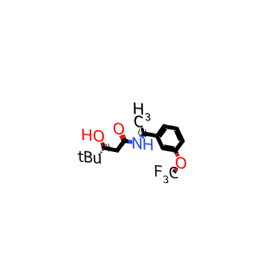 C[C@H](NC(=O)C[C@@H](O)C(C)(C)C)c1cccc(OC(F)(F)F)c1